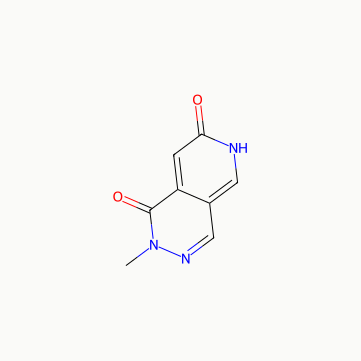 Cn1ncc2c[nH]c(=O)cc2c1=O